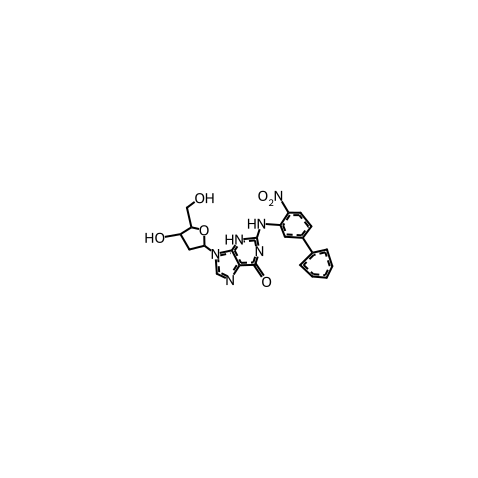 O=c1nc(Nc2cc(-c3ccccc3)ccc2[N+](=O)[O-])[nH]c2c1ncn2C1CC(O)C(CO)O1